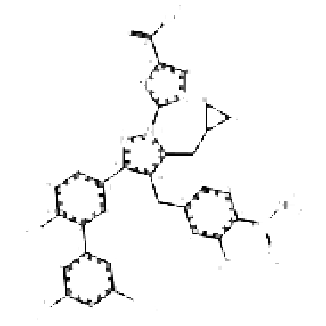 Cc1cc(C)cc(-c2cc(-c3nn(-c4nc(C(=O)O)cs4)c(CC4CC4)c3Cc3ccc([S+](N)[O-])c(F)c3)ccc2F)c1